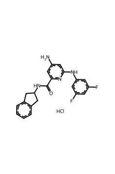 Cl.Nc1cc(Nc2cc(F)cc(F)c2)nc(C(=O)NC2Cc3ccccc3C2)c1